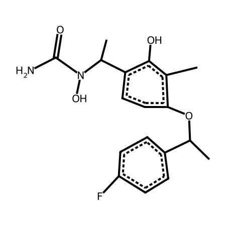 Cc1c(OC(C)c2ccc(F)cc2)ccc(C(C)N(O)C(N)=O)c1O